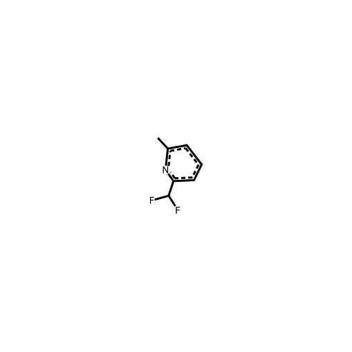 Cc1cccc(C(F)F)n1